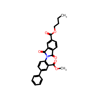 CCCCOC(=O)c1ccc2c(c1)C(=O)N(c1ccc(-c3ccccc3)cc1C(=O)OC)C2=O